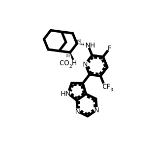 O=C(O)[C@H]1C2CCCC(C2)C[C@@H]1Nc1nc(-c2c[nH]c3ncncc23)c(C(F)(F)F)cc1F